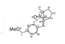 COCc1ccc(C=C2C(=O)C3(C)CCC2C3(C)C)cc1